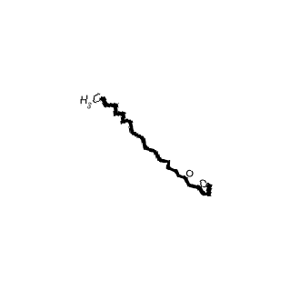 CCCCCCCCCCCCCCCCCC(=O)Cc1ccco1